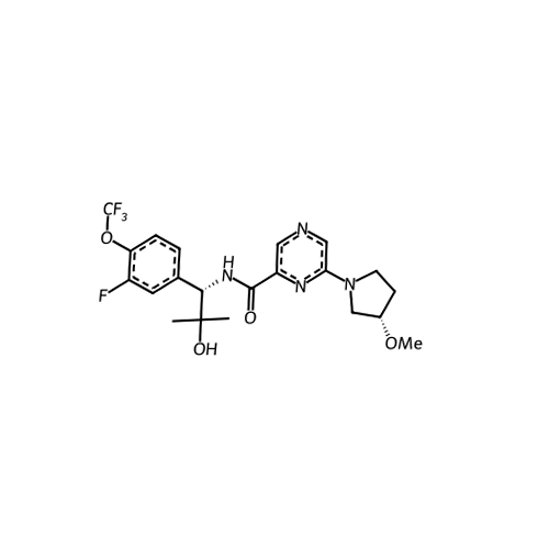 CO[C@H]1CCN(c2cncc(C(=O)N[C@@H](c3ccc(OC(F)(F)F)c(F)c3)C(C)(C)O)n2)C1